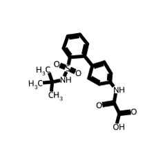 CC(C)(C)NS(=O)(=O)c1ccccc1-c1ccc(NC(=O)C(=O)O)cc1